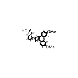 COc1ccc(-c2nc(-c3cccn3CC(=O)O)sc2-c2ccc(OC)cc2)cc1